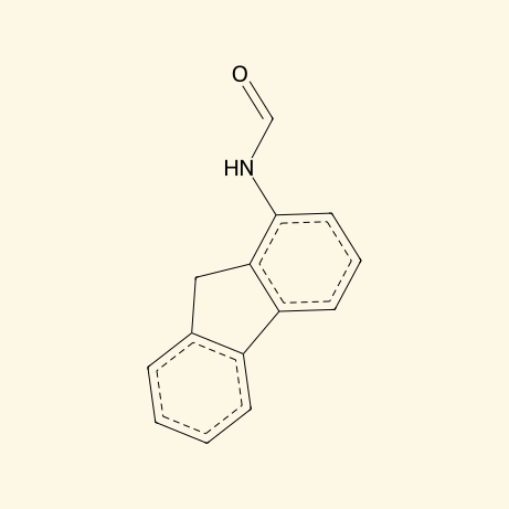 O=CNc1cccc2c1Cc1ccccc1-2